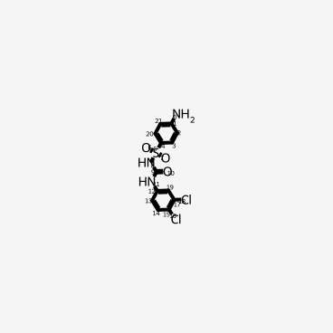 Nc1ccc(S(=O)(=O)NC(=O)Nc2ccc(Cl)c(Cl)c2)cc1